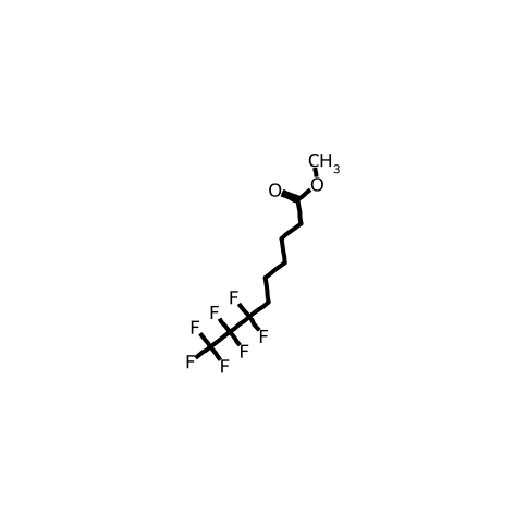 COC(=O)CCCCCC(F)(F)C(F)(F)C(F)(F)F